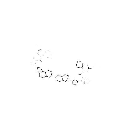 COC(=O)NC(C(=O)N1[C@@H]2CC[C@@H](C2)[C@H]1c1ncc(-c2ccc3cc(-c4ccc5c(ccc6nc([C@@H]7CCCN7C(=O)C(NC(=O)OC)C7CCOCC7)[nH]c65)c4)ccc3c2)[nH]1)c1ccccc1